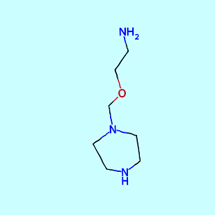 NCCOCN1CCNCC1